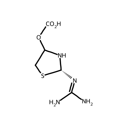 NC(N)=N[C@H]1NC(OC(=O)O)CS1